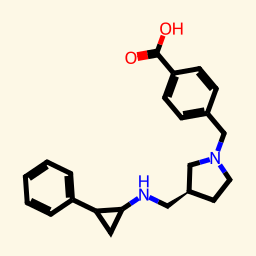 O=C(O)c1ccc(CN2CC[C@@H](CNC3CC3c3ccccc3)C2)cc1